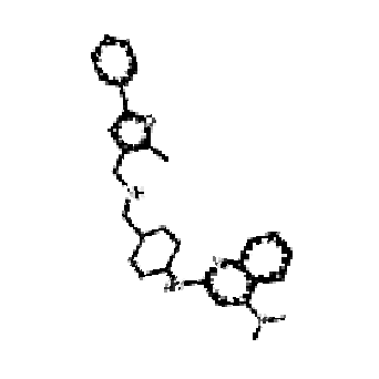 Cc1oc(-c2ccccc2)cc1CNCC1CCC(Nc2cc(N(C)C)c3ccccc3n2)CC1